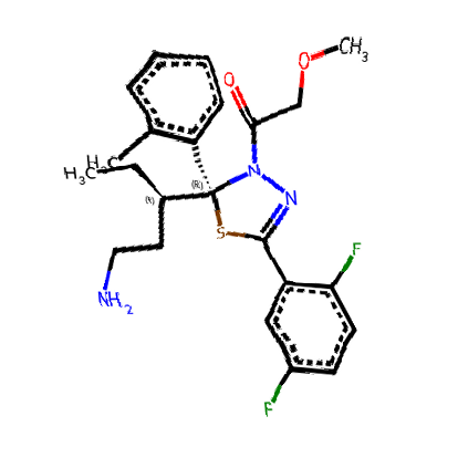 CC[C@H](CCN)[C@]1(c2ccccc2C)SC(c2cc(F)ccc2F)=NN1C(=O)COC